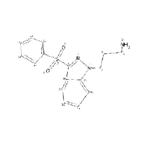 NCCCn1nc(S(=O)(=O)c2ccccc2)c2ccccc21